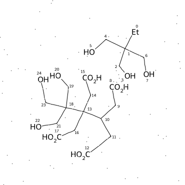 CCC(CO)(CO)CO.O=C(O)CC(CC(=O)O)C(CC(=O)O)(CC(=O)O)C(CO)(CO)CO